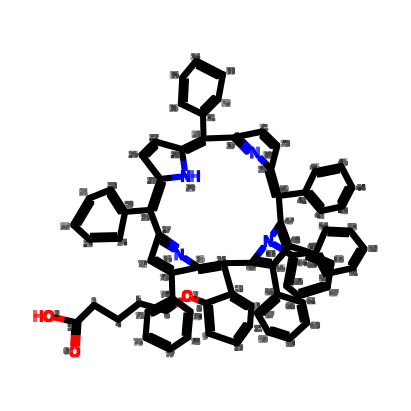 O=C(O)CCCCOc1ccccc1-c1c2nc(c(-c3ccccc3)c3ccc([nH]3)c(-c3ccccc3)c3nc(c(-c4ccccc4)c4c(-c5ccccc5)c(-c5ccccc5)c1n4-c1ccccc1)C=C3)C=C2c1ccccc1